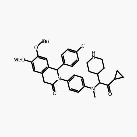 CCC(C)Oc1cc2c(cc1OC)CC(=O)N(c1ccc(N(C)C(C(=O)C3CC3)C3CCNCC3)cc1)C2c1ccc(Cl)cc1